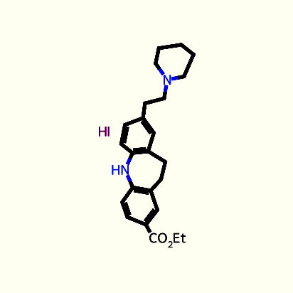 CCOC(=O)c1ccc2c(c1)CCc1cc(CCN3CCCCC3)ccc1N2.I